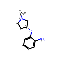 Nc1ccccc1N[C@@H]1CCN(C(=O)O)C1